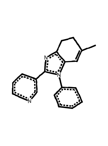 CC1=Cc2c(nc(-c3cccnc3)n2-c2ccccc2)CC1